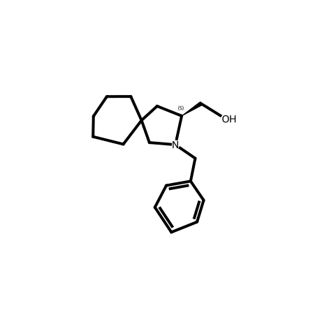 OC[C@@H]1CC2(CCCCC2)CN1Cc1ccccc1